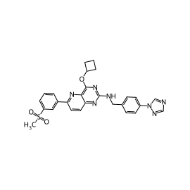 CS(=O)(=O)c1cccc(-c2ccc3nc(NCc4ccc(-n5cncn5)cc4)nc(OC4CCC4)c3n2)c1